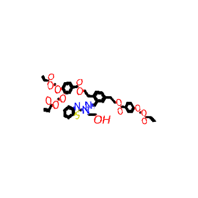 C=CC(=O)OCOc1ccc(C(=O)OCCc2ccc(CCOC(=O)c3ccc(OCOC(=O)C=C)c(OCOC(=O)C=C)c3)c(/C=N/N(CCO)c3nc4ccccc4s3)c2)cc1